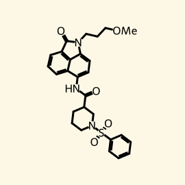 COCCCN1C(=O)c2cccc3c(NC(=O)C4CCCN(S(=O)(=O)c5ccccc5)C4)ccc1c23